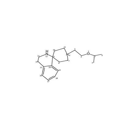 CC(C)OCCN1CCC2(CC1)NCCc1ccccc12